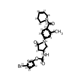 Cc1cc(N2CC(NC(=O)Oc3ccc(Br)s3)CC2=O)ccc1C(=O)N1CC=CCC1